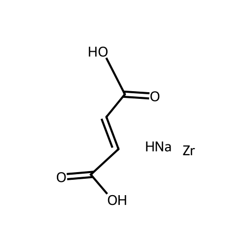 O=C(O)C=CC(=O)O.[NaH].[Zr]